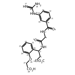 CCOC(=O)CC(NC(=O)CNC(=O)c1cccc(NC(=N)N)c1)c1ccccc1OCC(=O)O